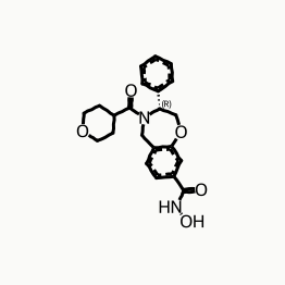 O=C(NO)c1ccc2c(c1)OC[C@@H](c1ccccc1)N(C(=O)C1CCOCC1)C2